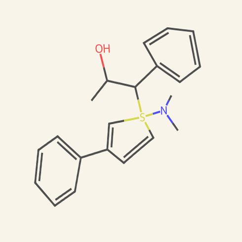 CC(O)C(c1ccccc1)S1(N(C)C)C=CC(c2ccccc2)=C1